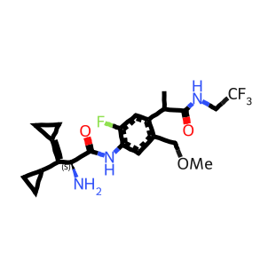 COCc1cc(NC(=O)[C@@H](N)C(=C2CC2)C2CC2)c(F)cc1C(C)C(=O)NCC(F)(F)F